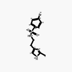 Cc1nc(CCNS(=O)(=O)c2ccc(Br)cc2)c[nH]1